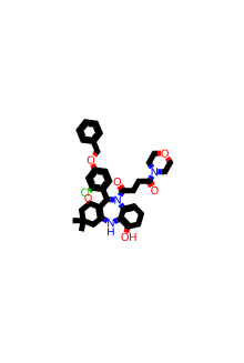 CC1(C)CC(=O)C2=C(C1)NC1=C(O)CCC=C1N(C(=O)CCC(=O)N1CCOCC1)C2c1ccc(OCc2ccccc2)cc1Cl